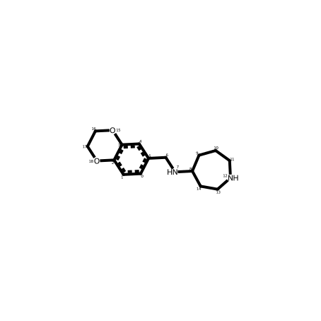 c1cc2c(cc1CNC1CCCNCC1)OCCO2